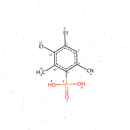 CCc1cc(C#N)c(P(=O)(O)O)c(C)c1CC